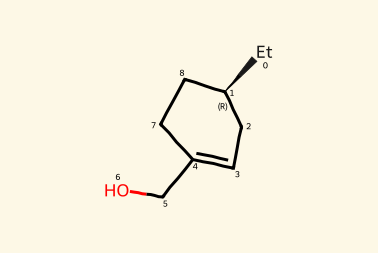 CC[C@H]1CC=C(CO)CC1